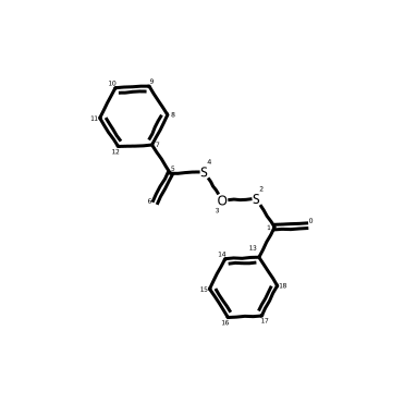 C=C(SOSC(=C)c1ccccc1)c1ccccc1